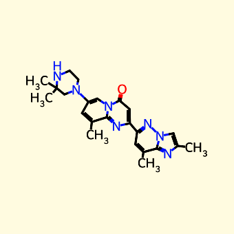 Cc1cn2nc(-c3cc(=O)n4cc(N5CCNC(C)(C)C5)cc(C)c4n3)cc(C)c2n1